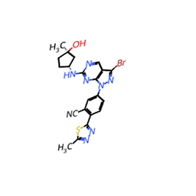 Cc1nnc(-c2ccc(-n3nc(Br)c4cnc(N[C@@H]5CC[C@@](C)(O)C5)nc43)cc2C#N)s1